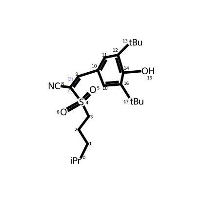 CC(C)CCCS(=O)(=O)/C(C#N)=C\c1cc(C(C)(C)C)c(O)c(C(C)(C)C)c1